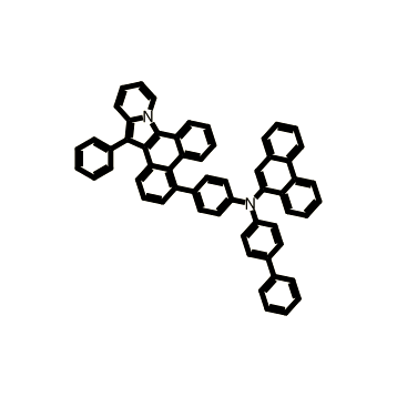 c1ccc(-c2ccc(N(c3ccc(-c4cccc5c4c4ccccc4c4c5c(-c5ccccc5)c5ccccn54)cc3)c3cc4ccccc4c4ccccc34)cc2)cc1